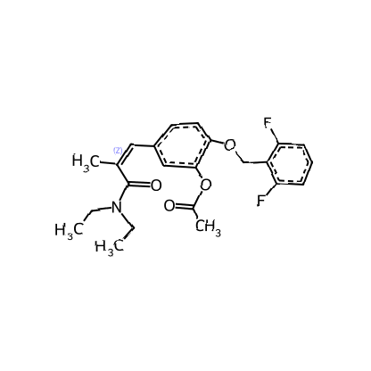 CCN(CC)C(=O)/C(C)=C\c1ccc(OCc2c(F)cccc2F)c(OC(C)=O)c1